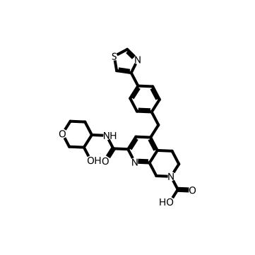 O=C(NC1CCOCC1O)c1cc(Cc2ccc(-c3cscn3)cc2)c2c(n1)CN(C(=O)O)CC2